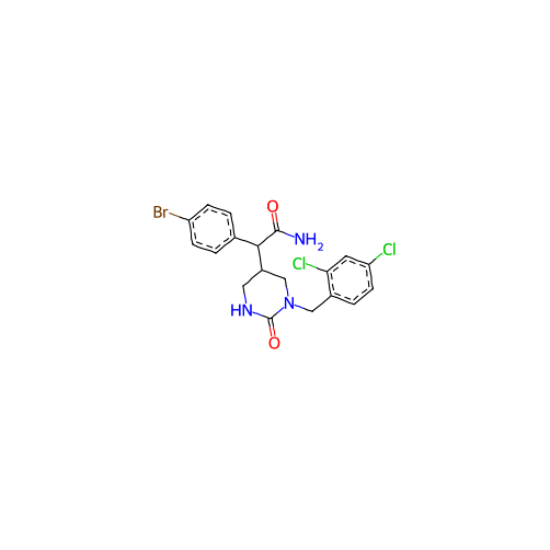 NC(=O)C(c1ccc(Br)cc1)C1CNC(=O)N(Cc2ccc(Cl)cc2Cl)C1